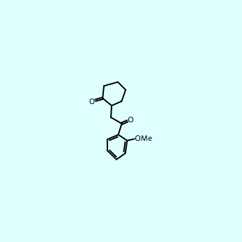 COc1ccccc1C(=O)CC1CCCCC1=O